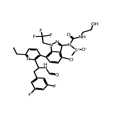 CCc1ccc(-c2ccc(Cl)c3c(N(C(=O)NCCO)[S+](C)[O-])nn(CC(F)(F)F)c23)c(C(Cc2cc(F)cc(F)c2)NC=O)n1